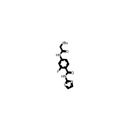 CC(C)(C)CC(=O)Nc1ccc(C(=O)Nc2nccs2)c(F)c1